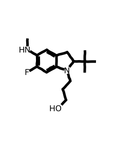 CNc1cc2c(cc1F)N(CCCO)C(C(C)(C)C)C2